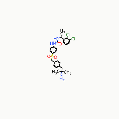 C[C@H](NC(=O)Nc1ccc(S(=O)(=O)Cc2ccc(CC(C)(C)N)cc2)cc1)c1cccc(Cl)c1Cl